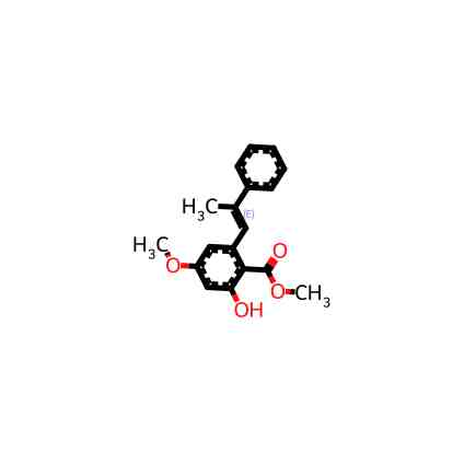 COC(=O)c1c(O)cc(OC)cc1/C=C(\C)c1ccccc1